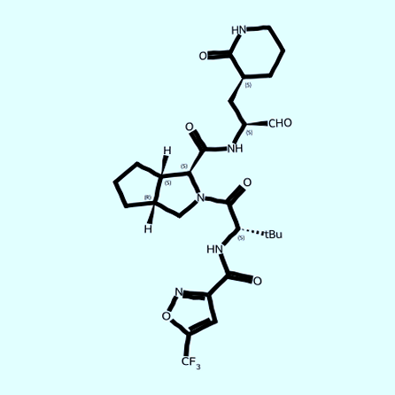 CC(C)(C)[C@H](NC(=O)c1cc(C(F)(F)F)on1)C(=O)N1C[C@@H]2CCC[C@@H]2[C@H]1C(=O)N[C@H](C=O)C[C@@H]1CCCNC1=O